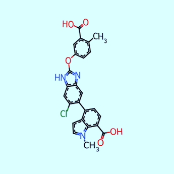 Cc1ccc(Oc2nc3cc(-c4ccc(C(=O)O)c5c4ccn5C)c(Cl)cc3[nH]2)cc1C(=O)O